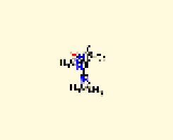 CC(C)Cn1cc(-c2ccc3c(n2)n(C)c(=O)n3CC(C)(C)C)cn1